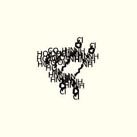 N=C(NCCCCCCNC(=N)NC(=N)Nc1ccc(Cl)cc1)NC(=N)Nc1ccc(Cl)cc1.N=C(NCCCCCCNC(=N)NC(=N)Nc1ccc(Cl)cc1)NC(=N)Nc1ccc(Cl)cc1.O=C(O)[C@H](O)[C@@H](O)[C@H](O)[C@H](O)CO.O=C(O)[C@H](O)[C@@H](O)[C@H](O)[C@H](O)CO